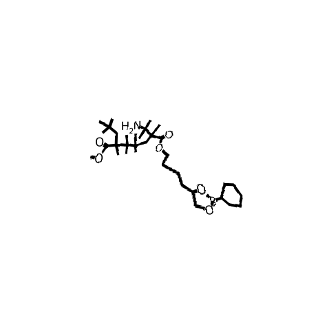 COC(=O)C(C)(CC(C)(C)C)C(C)(C)C(C)(C)CC(C)(C(=O)OCCCCC1COB(C2CCCCC2)O1)C(C)(C)N